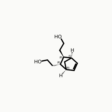 OCC[C@@H]1[C@@H](CCO)[C@H]2C=C[C@@H]1C2